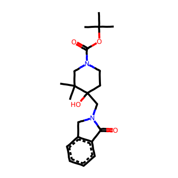 CC(C)(C)OC(=O)N1CCC(O)(CN2Cc3ccccc3C2=O)C(C)(C)C1